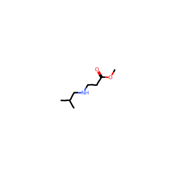 COC(=O)CCNCC(C)C